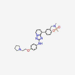 CN(Cc1cccc(-c2cccn3nc(Nc4ccc(OCCN5CCCC5)cc4)nc23)c1)S(C)(=O)=O